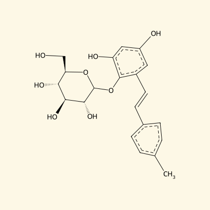 Cc1ccc(/C=C/c2cc(O)cc(O)c2OC2O[C@H](CO)[C@@H](O)[C@H](O)[C@H]2O)cc1